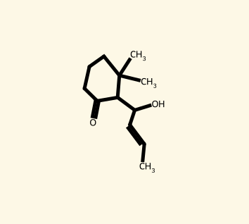 C/C=C/C(O)C1C(=O)CCCC1(C)C